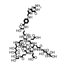 CC[C@@H](NC(=O)[C@H](CCC(=O)NCCO)NC(=O)[C@@H](CCC(=O)O)NC(=O)[C@H](CCC(=O)NC[C@H](O)[C@@H](O)[C@H](O)[C@H](O)CO)NC(=O)[C@@H](CCC(=O)O)NC(O)[C@H](CCC(=O)NC[C@H](O)[C@@H](O)[C@H](O)[C@H](O)CO)NC(O)CC[C@@H](NC(=O)c1ccc(NCc2cnc3nc(N)[nH]c(=O)c3n2)cc1)C(=O)O)C(=O)O